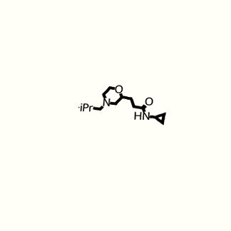 C[C](C)CN1CCOC(CCC(=O)NC2CC2)C1